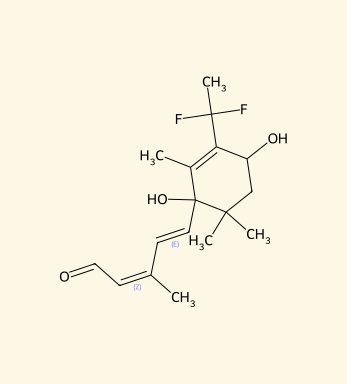 CC1=C(C(C)(F)F)C(O)CC(C)(C)C1(O)/C=C/C(C)=C\C=O